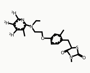 [2H]c1nc(N(CC)CCOc2ccc(CC3SC(=O)N(C)C3=O)c(C)c2)c(C)c([2H])c1[2H]